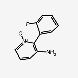 Nc1[c]cc[n+]([O-])c1-c1ccccc1F